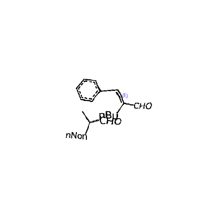 CCCC/C(C=O)=C\c1ccccc1.CCCCCCCCCC(C)C=O